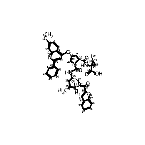 COc1ccc2c(O[C@@H]3C[C@@H](C(=O)N[C@]4(C(=O)O)C[C@H]4I)N(C(=O)N[C@H](CNC(=O)c4cc5ccccc5o4)CC(C)C)C3)cc(-c3ccccc3)nc2c1